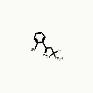 CCC1(C(=O)O)CC(c2ccccc2C(C)C)=NO1